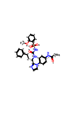 COC(=O)Nc1ccc(-n2ccnc2[C@H](CCc2ccccc2)NC(=O)NS(=O)(=O)c2ccccc2OC(F)(F)F)cc1